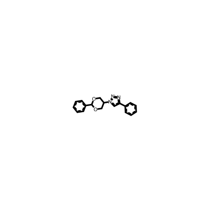 c1ccc(-c2cn(C3COC(c4ccccc4)OC3)nn2)cc1